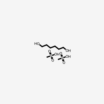 CS(=O)(=O)O.CS(=O)(=O)O.OCCCCCCO